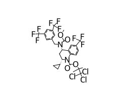 COC(=O)N(Cc1cc(C(F)(F)F)cc(C(F)(F)F)c1)[C@H]1C[C@@H](C2CC2)N(C(=O)OC(C)(C)C(Cl)(Cl)Cl)c2ccc(C(F)(F)F)cc21